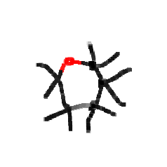 CC1(C)O[Si](C)(C)[Si](C)(C)[Si](C)(C)C1(C)C